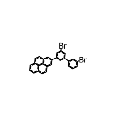 Brc1cccc(-c2cc(Br)cc(-c3cc4ccc5cccc6ccc(c3)c4c56)c2)c1